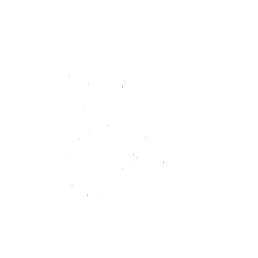 COc1cc(C2C3CCCN3C3(Cc4cccc5cccc3c45)C2C(=O)c2cccc(O)c2)ccc1O